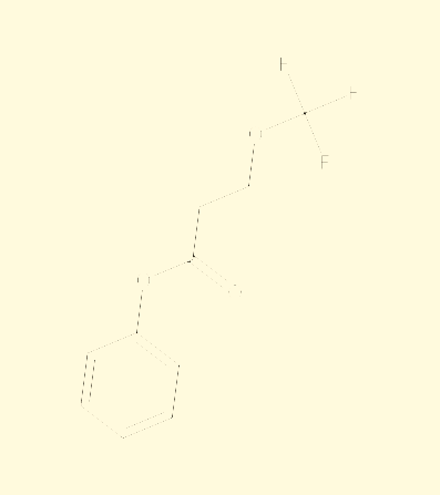 O=C(CCOC(F)(F)F)Oc1ccccc1